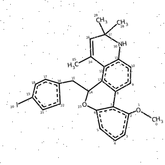 COc1cccc2c1-c1ccc3c(c1C(Cc1ccc(I)cc1)O2)C(C)=CC(C)(C)N3